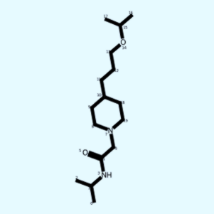 CC(C)NC(=O)CN1CCC(CCCOC(C)C)CC1